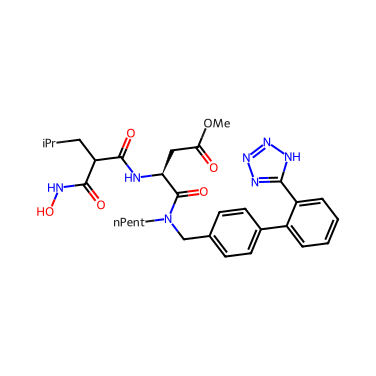 CCCCCN(Cc1ccc(-c2ccccc2-c2nnn[nH]2)cc1)C(=O)[C@H](CC(=O)OC)NC(=O)C(CC(C)C)C(=O)NO